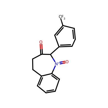 O=C1CCc2ccccc2[N+](=O)C1c1cccc(C(F)(F)F)c1